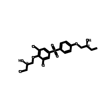 CC[C@H](O)COc1ccc(S(=O)(=O)c2cc(Cl)c(OC[C@H](O)CCl)c(Cl)c2)cc1